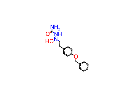 NC(=O)NN(O)CCc1ccc(OCc2ccccc2)cc1